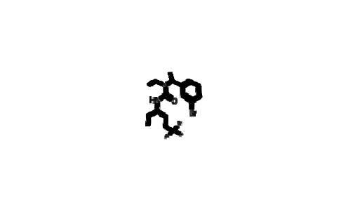 CCC(CCC(F)(F)F)NC(=O)N(CC)C(C)c1cccc(Br)c1